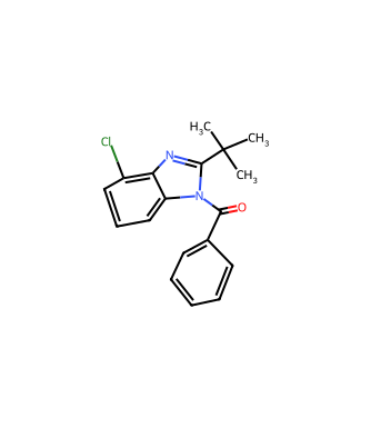 CC(C)(C)c1nc2c(Cl)cccc2n1C(=O)c1ccccc1